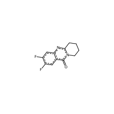 O=c1c2cc(F)c(F)cc2nc2n1CCCC2